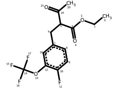 CCOC(=O)C(Cc1ccc(F)c(OC(F)(F)F)c1)C(C)=O